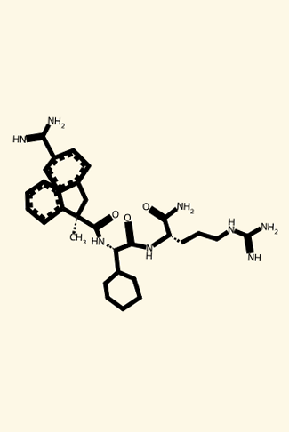 C[C@](Cc1ccc(C(=N)N)cc1)(C(=O)N[C@H](C(=O)N[C@@H](CCCNC(=N)N)C(N)=O)C1CCCCC1)c1ccccc1